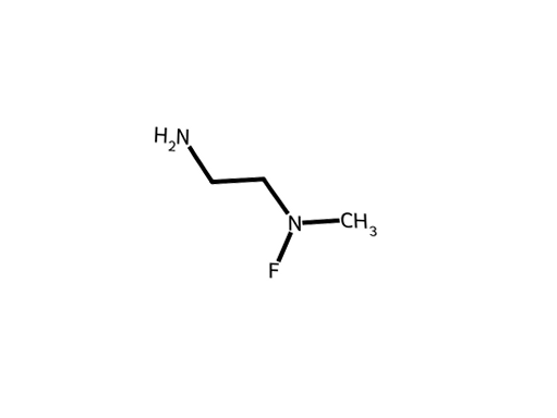 CN(F)CCN